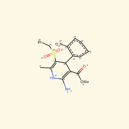 COC(=O)C1=C(N)NC(C)=C(S(=O)(=O)CC(C)C)C1c1ccccc1[N+](=O)[O-]